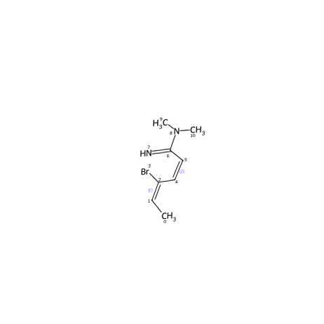 C/C=C(Br)\C=C/C(=N)N(C)C